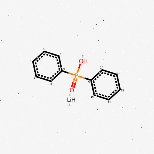 O=P(O)(c1ccccc1)c1ccccc1.[LiH]